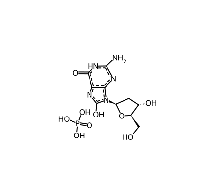 Nc1nc2c(nc(O)n2[C@H]2C[C@H](O)[C@@H](CO)O2)c(=O)[nH]1.O=P(O)(O)O